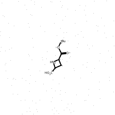 CC(C)(C)OC(=O)C1CC(C(=O)O)N1